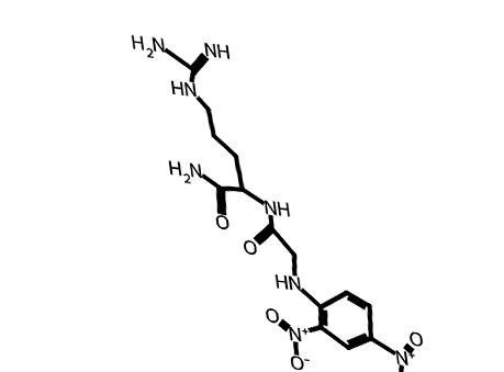 N=C(N)NCCCC(NC(=O)CNc1ccc([N+](=O)[O-])cc1[N+](=O)[O-])C(N)=O